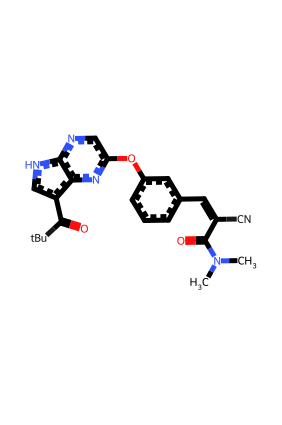 CN(C)C(=O)C(C#N)=Cc1cccc(Oc2cnc3[nH]cc(C(=O)C(C)(C)C)c3n2)c1